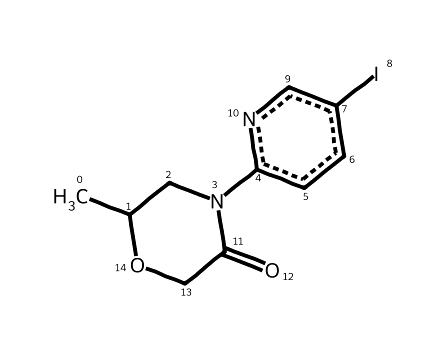 CC1CN(c2ccc(I)cn2)C(=O)CO1